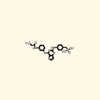 C=CC(=O)Nc1cccc(Oc2nc(Nc3ccc(CP(=O)(O)O)cc3)nc3ccsc23)c1